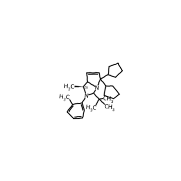 Cc1ccccc1N1C(C(C)(C)C)N2C(C=CC2(C2CCCC2)C2CCCC2)[C@@H]1C